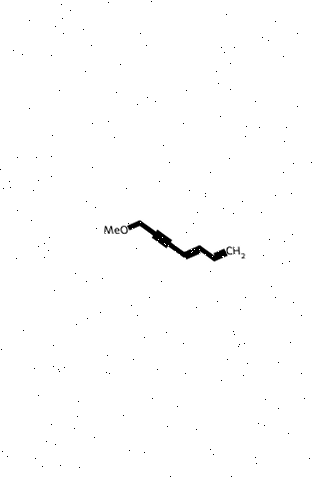 C=CC=CC#CCOC